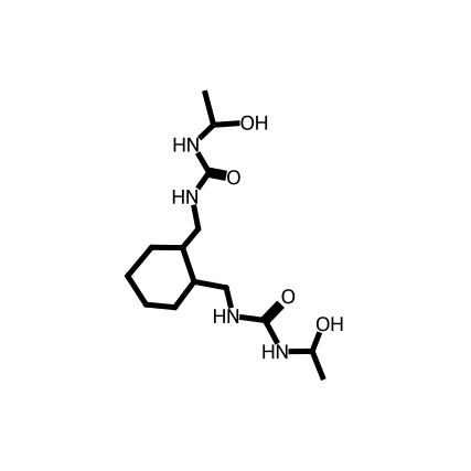 CC(O)NC(=O)NCC1CCCCC1CNC(=O)NC(C)O